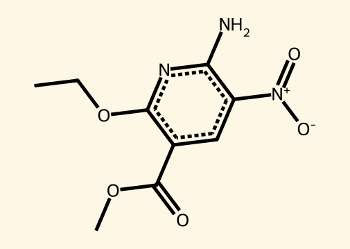 CCOc1nc(N)c([N+](=O)[O-])cc1C(=O)OC